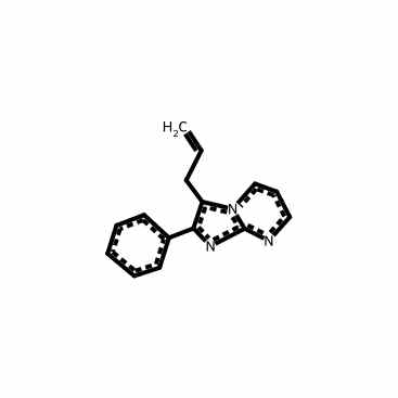 C=CCc1c(-c2ccccc2)nc2ncccn12